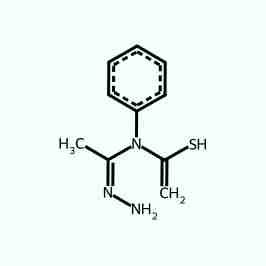 C=C(S)N(/C(C)=N\N)c1ccccc1